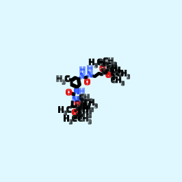 Cc1cc(NC(=O)NCCC[Si](C)(O[Si](C)(C)C)O[Si](C)(C)C)cc(NC(=O)NCC(C)[Si](C)(O[Si](C)(C)C)O[Si](C)(C)C)c1